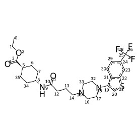 CCOC(=O)[C@H]1CC[C@H](NC(=O)CCCN2CCN(c3csc4cc(C(F)(F)F)ccc34)CC2)CC1